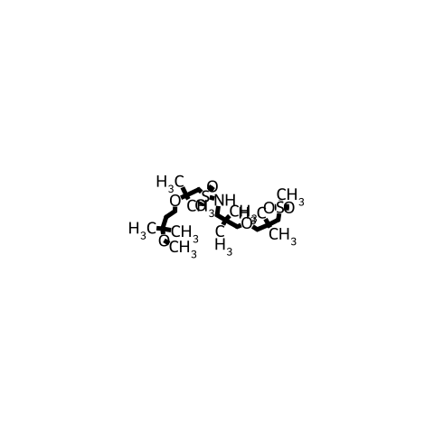 COC(C)(C)CCOC(C)(C)CS(=O)(=O)NCC(C)(C)COCC(C)(C)CS(C)(=O)=O